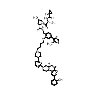 Cc1ncsc1-c1ccc(CNC(=O)[C@@H]2C[C@@H](O)CN2C(=O)[C@@H](NC(=O)C2(F)CC2)C(C)(C)C)c(OCCCCN2CCC(c3ccnc(N4CCN5c6cc(-c7ccccc7O)nnc6NC[C@H]5C4)n3)CC2)c1